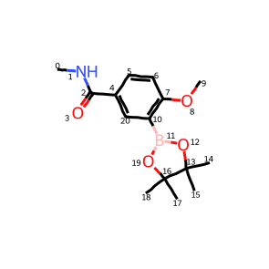 CNC(=O)c1ccc(OC)c(B2OC(C)(C)C(C)(C)O2)c1